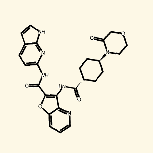 O=C(Nc1ccc2cc[nH]c2n1)c1oc2cccnc2c1NC(=O)[C@H]1CC[C@H](N2CCOCC2=O)CC1